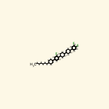 CCCCCCCC1CCC(c2ccc(C3CCC(C4CCC(c5ccc(F)c(F)c5)CC4)CC3)c(F)c2)CC1